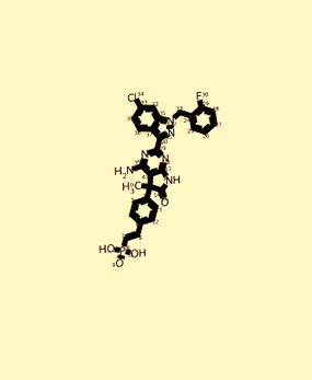 CC1(c2ccc(C=CP(=O)(O)O)cc2)C(=O)Nc2nc(-c3nn(Cc4ccccc4F)c4cc(Cl)ccc34)nc(N)c21